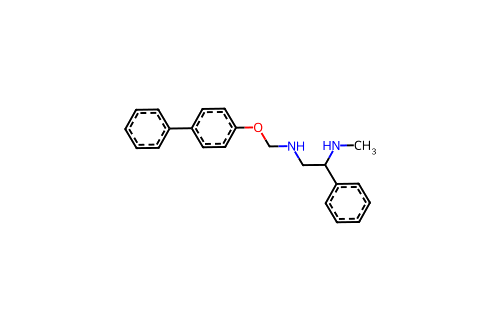 CNC(CNCOc1ccc(-c2ccccc2)cc1)c1ccccc1